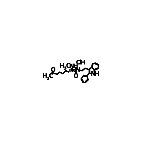 CN[C@@H](CCCCCC(C)=O)C(=O)NCCc1c(-c2ccccc2)[nH]c2ccccc12.Cl